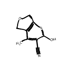 Cc1c(C#N)c(O)nc2c1COC2